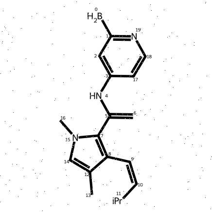 Bc1cc(NC(=C)c2c(/C=C\C(C)C)c(C)cn2C)ccn1